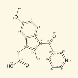 COc1ccc2c(c1)c(CC(=O)O)c(C)n2C(=O)c1cccnc1